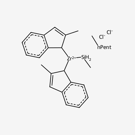 CCCCCC.C[SiH2][Zr+2]([CH]1C(C)=Cc2ccccc21)[CH]1C(C)=Cc2ccccc21.[Cl-].[Cl-]